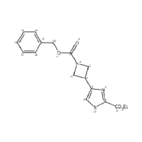 CCOC(=O)c1nc(C2CN(C(=O)OCc3ccccc3)C2)cs1